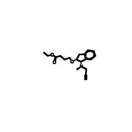 C#CCN(C)[C@H]1c2ccccc2C[C@H]1OCCCC(=O)OCC